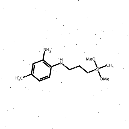 CO[Si](C)(CCCNc1ccc(C)cc1N)OC